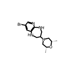 C[C@@H]1CN(C2CNc3cc(Br)cnc3NC2)C[C@H](C)O1